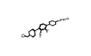 CCCCCC1CCC(c2ccc(C3CCC(CCl)CC3)c(F)c2F)CC1